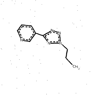 [CH2]CCn1nnc(-c2cccnc2)n1